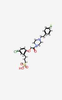 O=C(COc1ccc(Cl)cc1CCCS(=O)(=O)O)N1CCN(CCc2ccc(F)cc2)CC1